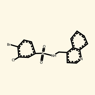 O=S(=O)(NCc1ccnc2ccccc12)c1ccc(Br)c(Cl)c1